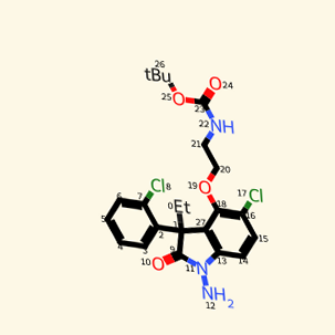 CCC1(c2ccccc2Cl)C(=O)N(N)c2ccc(Cl)c(OCCNC(=O)OC(C)(C)C)c21